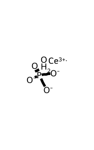 O.O=P([O-])([O-])[O-].[Ce+3]